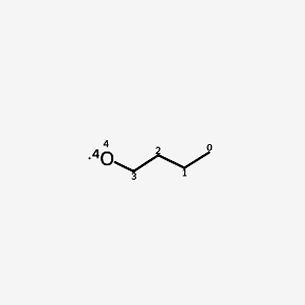 CCCC[4O]